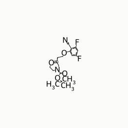 CC(C)(C)OC(=O)N1CCO[C@@H](CCOc2cc(F)cc(F)c2C#N)C1